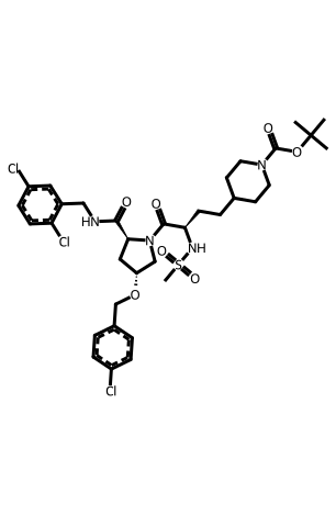 CC(C)(C)OC(=O)N1CCC(CC[C@@H](NS(C)(=O)=O)C(=O)N2C[C@H](OCc3ccc(Cl)cc3)C[C@H]2C(=O)NCc2cc(Cl)ccc2Cl)CC1